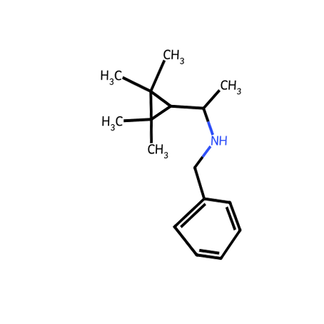 CC(NCc1ccccc1)C1C(C)(C)C1(C)C